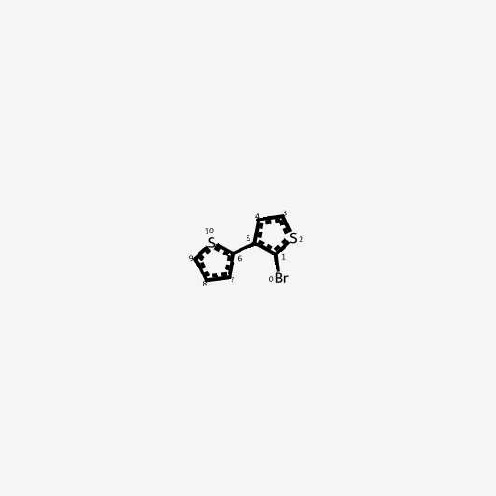 Brc1sccc1-c1cccs1